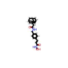 O=C(C=Cc1ccc(CNC(=O)CC23CC4CC(CC(C4)C2)C3)cc1)NO